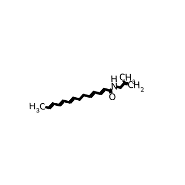 C=C(C)CNC(=O)C=CC=CCCC=CC=CC=CC